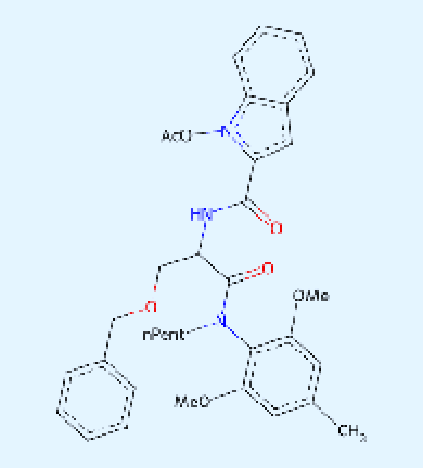 CCCCCN(C(=O)C(COCc1ccccc1)NC(=O)c1cc2ccccc2n1OC(C)=O)c1c(OC)cc(C)cc1OC